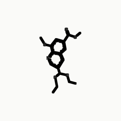 CCOC(OCC)c1cnc2c(OC)cc(C(=O)OC)cc2c1